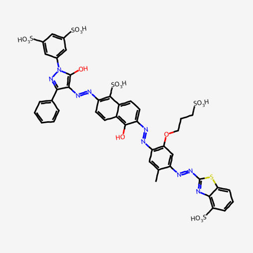 Cc1cc(N=Nc2ccc3c(S(=O)(=O)O)c(N=Nc4c(-c5ccccc5)nn(-c5cc(S(=O)(=O)O)cc(S(=O)(=O)O)c5)c4O)ccc3c2O)c(OCCCS(=O)(=O)O)cc1N=Nc1nc2c(S(=O)(=O)O)cccc2s1